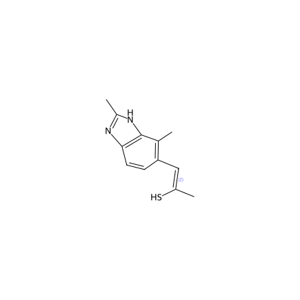 C/C(S)=C/c1ccc2nc(C)[nH]c2c1C